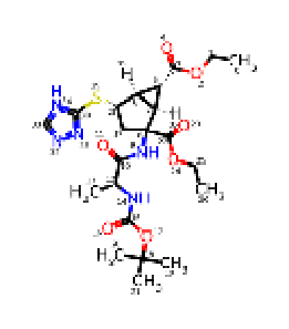 CCOC(=O)[C@H]1[C@H]2[C@@H]1[C@](NC(=O)[C@H](C)NC(=O)OC(C)(C)C)(C(=O)OCC)C[C@@H]2Sc1nnc[nH]1